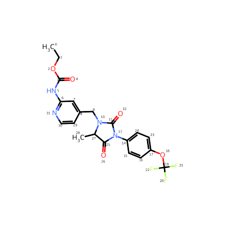 CCOC(=O)Nc1cc(CN2C(=O)N(c3ccc(OC(F)(F)F)cc3)C(=O)C2C)ccn1